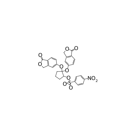 O=C1OCc2cc(OC3(Oc4ccc5c(c4)COC5=O)CCCC3OS(=O)(=O)c3ccc([N+](=O)[O-])cc3)ccc21